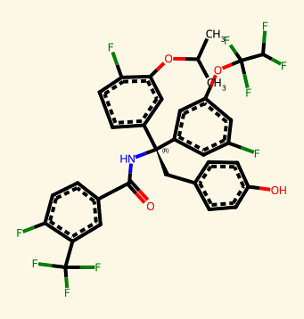 CC(C)Oc1cc([C@@](Cc2ccc(O)cc2)(NC(=O)c2ccc(F)c(C(F)(F)F)c2)c2cc(F)cc(OC(F)(F)C(F)F)c2)ccc1F